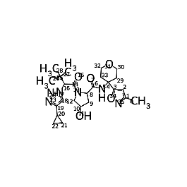 Cc1cc(C2(NC(=O)C3CC(O)CN3C(=O)[C@@H](n3cc(C4CC4)nn3)C(C)(C)C)CCOCC2)on1